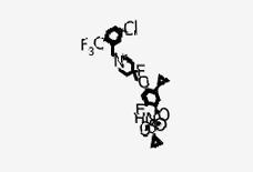 O=C(NS(=O)(=O)C1CC1)c1cc(C2CC2)c(OCC2(F)CCN(Cc3cc(Cl)ccc3C(F)(F)F)CC2)cc1F